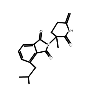 C=C1CCC(C)(N2C(=O)c3cccc(CC(C)C)c3C2=O)C(=O)N1